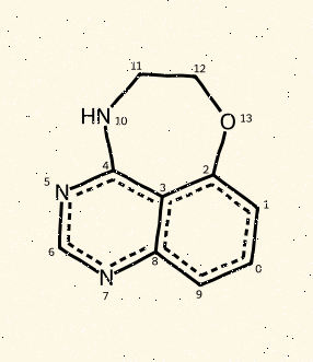 c1cc2c3c(ncnc3c1)NCCO2